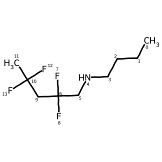 CCCCNCC(F)(F)CC(C)(F)F